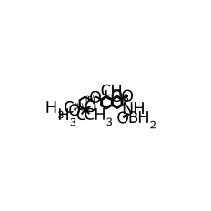 BC(=O)Nc1cc2ccc(O[C@H]3CC[C@@H](OC)C(C)(C)O3)c(C)c2oc1=O